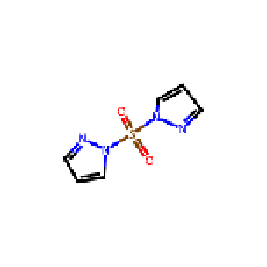 O=S(=O)(n1cccn1)n1cccn1